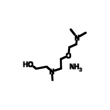 CN(C)CCOCCN(C)CCO.N